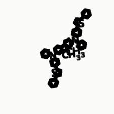 CC1(C)c2cc(N(c3ccccc3)c3ccc(-c4ccc(-c5ccccc5)s4)cc3)ccc2-c2ccc(N(c3ccccc3)c3ccc(-c4ccc(-c5ccccc5)s4)cc3)cc21